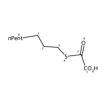 CCCCCCCCSC(=O)C(=O)O